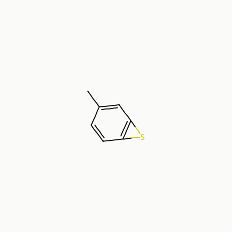 Cc1ccc2c(c1)S2